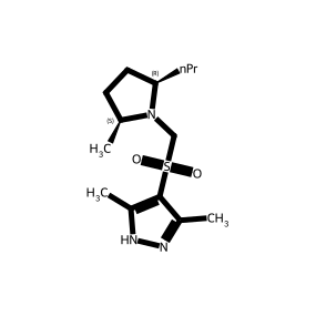 CCC[C@@H]1CC[C@H](C)N1CS(=O)(=O)c1c(C)n[nH]c1C